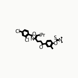 Cc1cc(C(=O)CCc2nc(-c3ccc(Cl)cc3Cl)oc2C(C)C)ccc1OC(=S)N(C)C